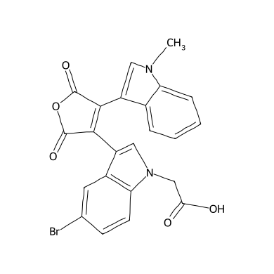 Cn1cc(C2=C(c3cn(CC(=O)O)c4ccc(Br)cc34)C(=O)OC2=O)c2ccccc21